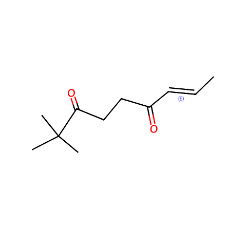 C/C=C/C(=O)CCC(=O)C(C)(C)C